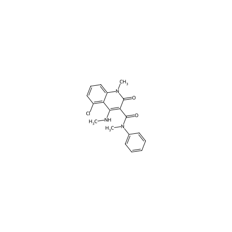 CNc1c(C(=O)N(C)c2ccccc2)c(=O)n(C)c2cccc(Cl)c12